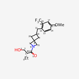 CC[C@H](CO)C(=O)N1CC2(CC(Cc3ccc(OC)cc3C(F)(F)F)C2)C1